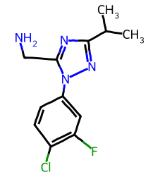 CC(C)c1nc(CN)n(-c2ccc(Cl)c(F)c2)n1